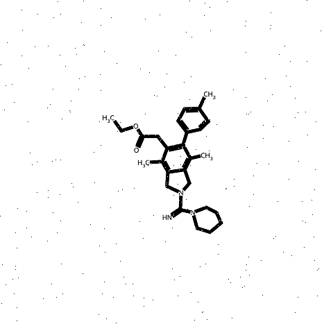 CCOC(=O)Cc1c(C)c2c(c(C)c1-c1ccc(C)cc1)CN(C(=N)N1CCCCC1)C2